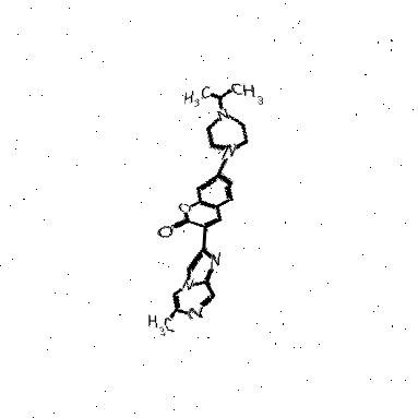 Cc1cn2cc(-c3cc4ccc(N5CCN(C(C)C)CC5)cc4oc3=O)nc2cn1